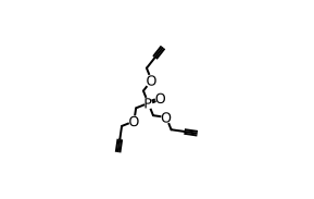 C#CCOCP(=O)(COCC#C)COCC#C